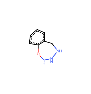 c1ccc2c(c1)CNNNO2